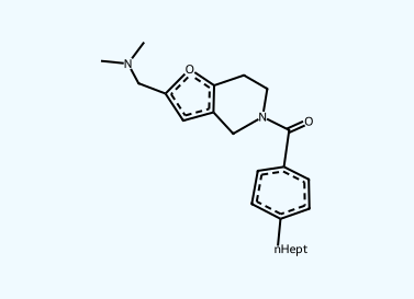 CCCCCCCc1ccc(C(=O)N2CCc3oc(CN(C)C)cc3C2)cc1